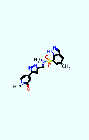 Cc1cc(S(=O)(=O)N(C)Cc2cc(-c3ccn(C)c(=O)c3)[nH]n2)c2[nH]ncc2c1